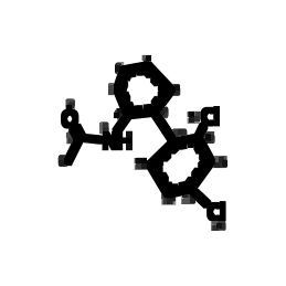 CC(=O)Nc1ccccc1-c1ccc(Cl)cc1Cl